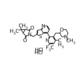 Cc1cc(C(F)(F)F)nc(-c2ccnc3cc(CN4C(=O)C5C(C4=O)C5(C)C)sc23)c1CC1CN(C)CCO1.Cl.Cl